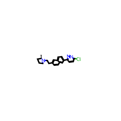 C[C@@H]1CCCN1CCc1ccc2cc(-c3ccc(Cl)nn3)ccc2c1